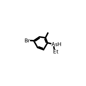 CC[AsH]c1ccc(Br)cc1C